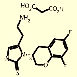 NCCC1=C[N]C(=S)N1[C@H]1COc2c(F)cc(F)cc2C1.O=C(O)CC(=O)O